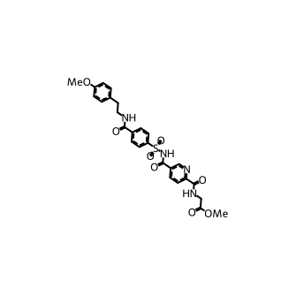 COC(=O)CNC(=O)c1ccc(C(=O)NS(=O)(=O)c2ccc(C(=O)NCCc3ccc(OC)cc3)cc2)cn1